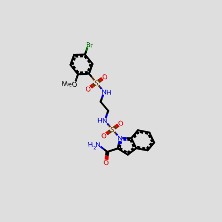 COc1ccc(Br)cc1S(=O)(=O)NCCNS(=O)(=O)n1c(C(N)=O)cc2ccccc21